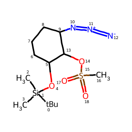 CC(C)(C)[Si](C)(C)OC1CCCC(N=[N+]=[N-])C1OS(C)(=O)=O